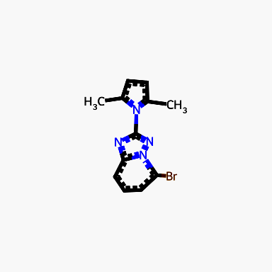 Cc1ccc(C)n1-c1nc2cccc(Br)n2n1